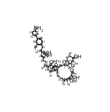 CC1CC(O[C@H]2C(C)C(=O)O[C@@H](C)C(O)[C@H](O)[C@@H](C)N(C)CCCC(C)(O)C(O[C@@H]3O[C@H](C)C[C@H](N(C)CCC4=CN([C@H](CF)Cc5ccc(-c6ccc(N)s6)cc5)NN4)[C@@H]3O)[C@@H]2C)O[C@@H](C)[C@H]1O